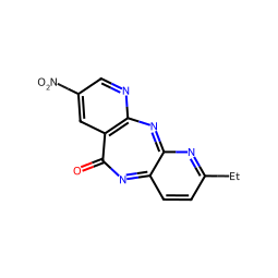 CCc1ccc2nc(=O)c3cc([N+](=O)[O-])cnc3nc2n1